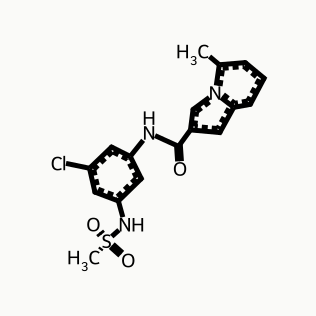 Cc1cccc2cc(C(=O)Nc3cc(Cl)cc(NS(C)(=O)=O)c3)cn12